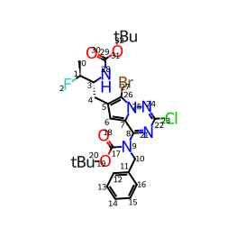 C[C@H](F)[C@@H](Cc1cc2c(N(Cc3ccccc3)C(=O)OC(C)(C)C)nc(Cl)nn2c1Br)NC(=O)OC(C)(C)C